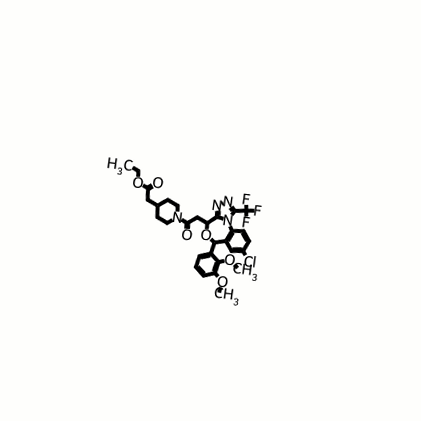 CCOC(=O)CC1CCN(C(=O)CC2OC(c3cccc(OC)c3OC)c3cc(Cl)ccc3-n3c2nnc3C(F)(F)F)CC1